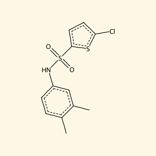 Cc1ccc(NS(=O)(=O)c2ccc(Cl)s2)cc1C